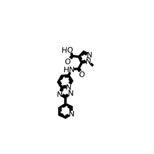 Cn1ncc(C(=O)O)c1C(=O)Nc1ccc2nc(-c3cccnc3)nn2c1